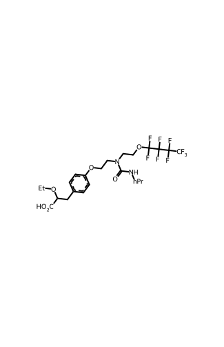 CCCNC(=O)N(CCOc1ccc(CC(OCC)C(=O)O)cc1)CCOC(F)(F)C(F)(F)C(F)(F)C(F)(F)F